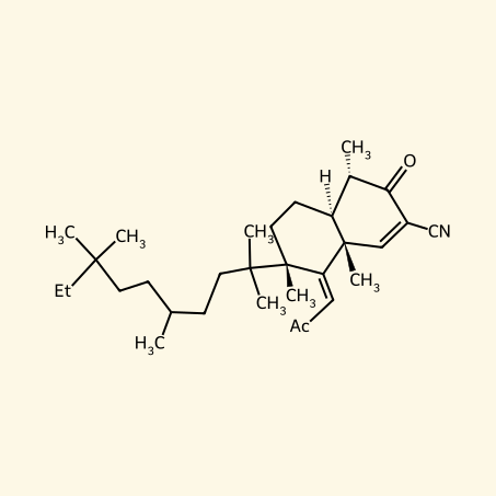 CCC(C)(C)CCC(C)CCC(C)(C)[C@]1(C)CC[C@H]2[C@H](C)C(=O)C(C#N)=C[C@]2(C)/C1=C/C(C)=O